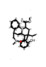 CCC12CCCN(C)CC3C=C(C1c1ccccc1O)N(c1ccccc13)C(C(=O)OC)C2